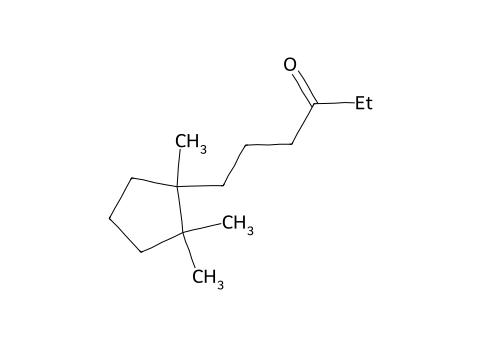 CCC(=O)CCCC1(C)CCCC1(C)C